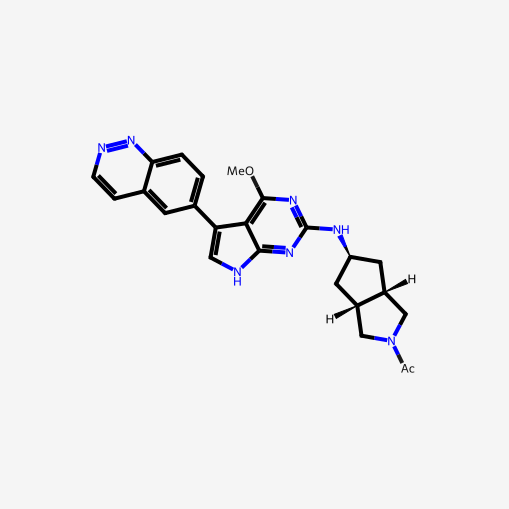 COc1nc(N[C@H]2C[C@@H]3CN(C(C)=O)C[C@@H]3C2)nc2[nH]cc(-c3ccc4nnccc4c3)c12